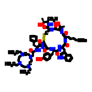 CNCCCC[C@@H]1NC(=O)[C@@H](Cc2c[nH]c3ccccc23)NC(=O)[C@H](Cc2ccc(O)cc2)NC(=O)[C@@H](NC(=O)[C@@H](Cc2ccccc2)NC(=O)CN2CCN(CC(=O)O)CCN(CC(=O)O)CCN(CC(=O)O)CC2)CSSC[C@@H](C(=O)N[C@H](C(=O)O)[C@@H](C)O)NC(=O)[C@H]([C@@H](C)O)NC1=O